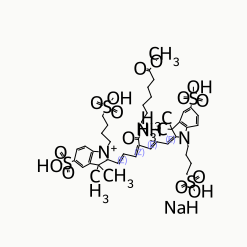 COC(=O)CCCCCCNC(=O)C(=C\C=C\C1=[N+](CCCCS(=O)(=O)O)c2ccc(S(=O)(=O)O)cc2C1(C)C)/C=C/C=C1/N(CCCCS(=O)(=O)O)c2ccc(S(=O)(=O)O)cc2C1(C)C.[NaH]